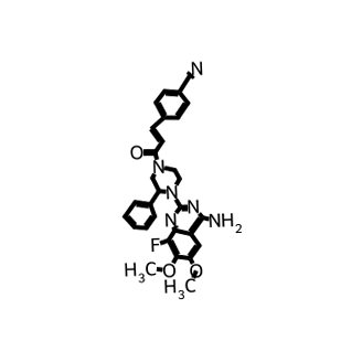 COc1cc2c(N)nc(N3CCN(C(=O)C=Cc4ccc(C#N)cc4)CC3c3ccccc3)nc2c(F)c1OC